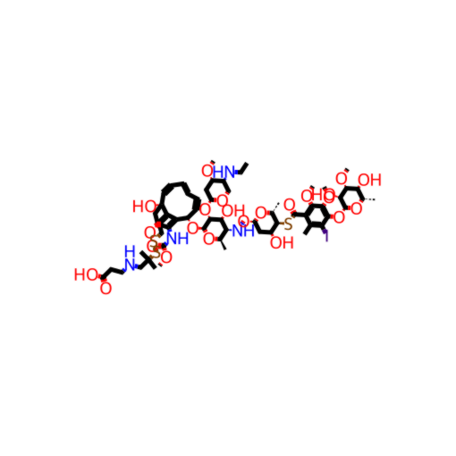 CCN[C@H]1CO[C@@H](O[C@H]2[C@H](O[C@H]3C#C/C=C/C#C[C@]4(O)CC(=O)C(NC(=O)OC)=C3/C4=C\CSSC(C)(C)CNCCC(=O)O)O[C@H](C)[C@@H](NO[C@H]3C[C@H](O)[C@H](SC(=O)c4c(C)c(I)c(O[C@@H]5O[C@@H](C)[C@H](O)[C@@H](OC)[C@H]5O)c(OC)c4OC)[C@@H](C)O3)[C@@H]2O)C[C@@H]1OC